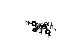 CC1(n2c(NC(=O)C[C@](C)(CO)c3ccc(F)cc3)nc3ccc(C#N)cc32)CCC1